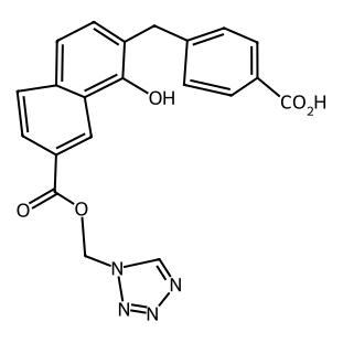 O=C(O)c1ccc(Cc2ccc3ccc(C(=O)OCn4cnnn4)cc3c2O)cc1